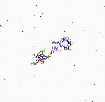 CCOc1cc(C(C)(C)C)ccc1C1=N[C@@](C)(c2ccc(Cl)cc2)[C@@](C)(c2ccc(Cl)cc2)N1C(=O)N1CCN(CCOCCOCCC(=O)NCCn2nc3c(c2OC)-c2cnc(N)c(c2)N2CCC[C@@H]2c2cc(F)ccc2C(=O)N(C)C3)CC1